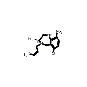 C/C=C\CN1Cc2c(Cl)ccc([N+](=O)[O-])c2NC[C@@H]1C